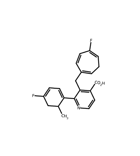 CC1CC(F)=CC=C1c1nccc(C(=O)O)c1CC1=CCC=C(F)C=C1